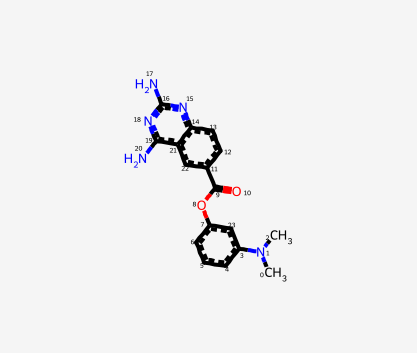 CN(C)c1cccc(OC(=O)c2ccc3nc(N)nc(N)c3c2)c1